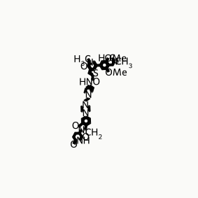 C=C1c2ccc(N3CCN(CCN4CC5CC4CC5NC(=O)c4cc5c(=O)n(C)cc(-c6cc(OC)c(CN(C)C)c(OC)c6)c5s4)CC3)cc2C(=O)N1C1CCC(=O)NC1=O